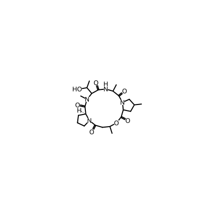 CC1CC2C(=O)OC(C)CC(=O)N3CCC[C@H]3C(=O)N(C)C(C(C)O)C(=O)NC(C)C(=O)N2C1